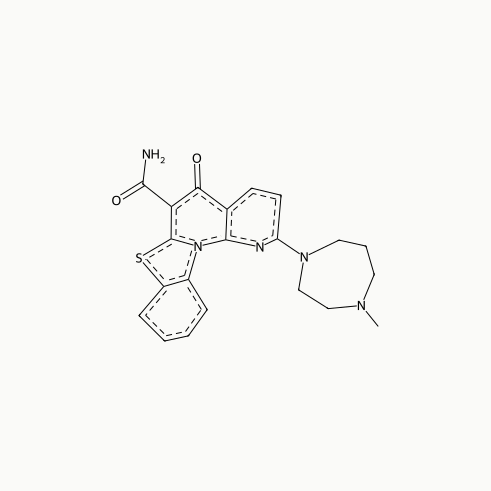 CN1CCCN(c2ccc3c(=O)c(C(N)=O)c4sc5ccccc5n4c3n2)CC1